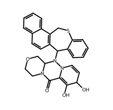 O=C1C2=C(O)C(O)C=CN2N(C2c3ccccc3SCc3c2ccc2ccccc32)C2COCCN12